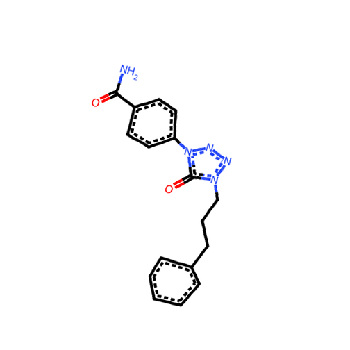 NC(=O)c1ccc(-n2nnn(CCCc3ccccc3)c2=O)cc1